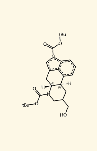 CC(C)(C)OC(=O)N1CC(CO)C[C@@H]2c3cccc4c3c(cn4C(=O)OC(C)(C)C)C[C@H]21